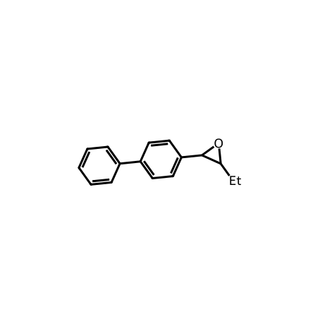 CCC1OC1c1ccc(-c2ccccc2)cc1